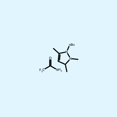 CCCCN1C(C)=CC(C)N1C.NC(=O)C(F)(F)F